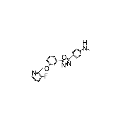 CNc1ccc(-c2nnc(-c3cccc(OCc4ncccc4F)c3)o2)cc1